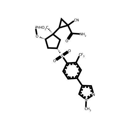 CC(C)O[C@H]1C[C@@H](S(=O)(=O)c2ccc(-c3cnn(C)c3)cc2C(F)(F)F)C[C@]1(C(=O)O)C1CC1(C#N)C(N)=O